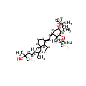 C=C1/C(=C\C=C2CCC[C@@]3(C)C2CC[C@@H]3[C@@H](C)CCCC(C)(C)O)C[C@H](O[Si](C)(C)C(C)(C)C)[C@H](C)[C@H]1O[Si](C)(C)C(C)(C)C